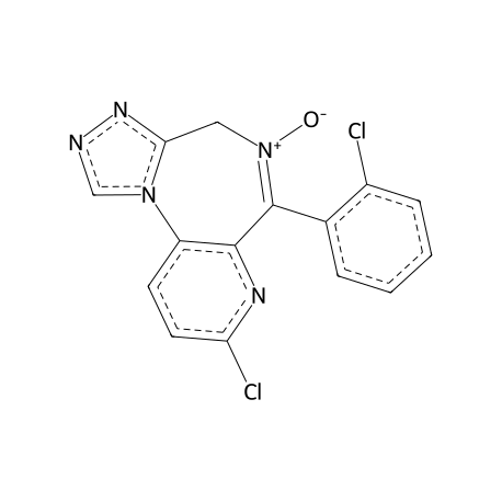 [O-][N+]1=C(c2ccccc2Cl)c2nc(Cl)ccc2-n2cnnc2C1